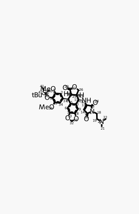 COc1cc([C@@H]2c3cc4c(cc3[C@@H](NC3=CC(=O)N(CCN(C)C)C3=O)[C@H]3COC(=O)[C@H]23)OCO4)cc(OC)c1O[Si](C)(C)C(C)(C)C